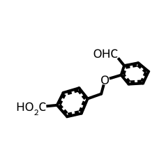 O=Cc1ccccc1OCc1ccc(C(=O)O)cc1